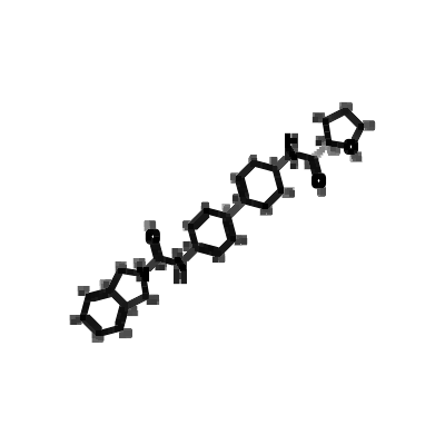 O=C(NC1CC=C(c2ccc(NC(=O)N3Cc4ccccc4C3)cc2)CC1)[C@@H]1CCCO1